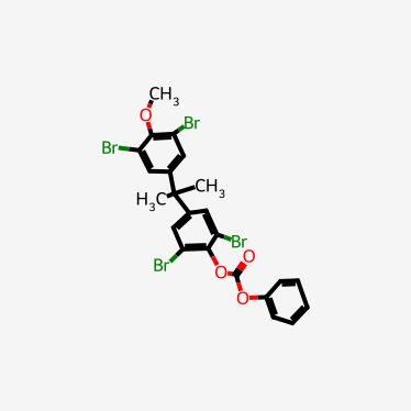 COc1c(Br)cc(C(C)(C)c2cc(Br)c(OC(=O)Oc3ccccc3)c(Br)c2)cc1Br